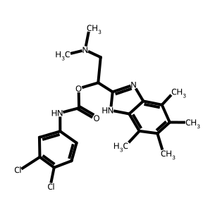 Cc1c(C)c(C)c2[nH]c(C(CN(C)C)OC(=O)Nc3ccc(Cl)c(Cl)c3)nc2c1C